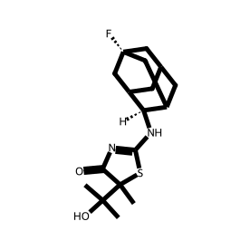 CC(C)(O)C1(C)SC(N[C@H]2C3CC4CC2C[C@](F)(C4)C3)=NC1=O